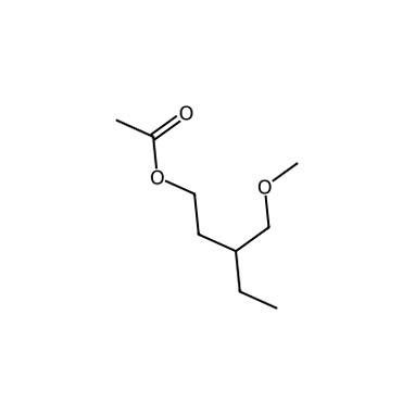 CCC(CCOC(C)=O)COC